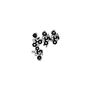 CCN(C(=O)C1c2ccccc2Oc2ccccc21)C1CN2CCC1CC2.Cc1cc(C(O)(C(=O)N[C@H]2CN3CCC2CC3)c2ccc(Br)s2)ccc1F.O=C(NC12CCN(CC1)CC2)C(O)(c1cccs1)C1CCCC1.O=C(N[C@H]1CN2CCC1CC2)C(O)(c1ccccc1)c1cccs1